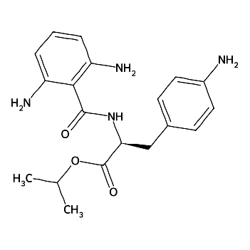 CC(C)OC(=O)[C@H](Cc1ccc(N)cc1)NC(=O)c1c(N)cccc1N